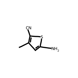 Cc1cc(N)sc1C#N